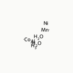 O.O.[AlH3].[Co].[Mn].[Ni]